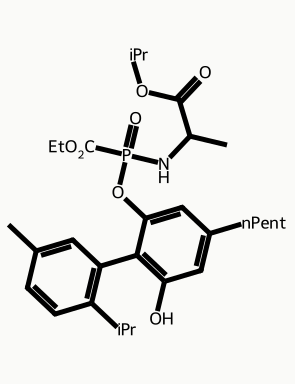 CCCCCc1cc(O)c(-c2cc(C)ccc2C(C)C)c(OP(=O)(NC(C)C(=O)OC(C)C)C(=O)OCC)c1